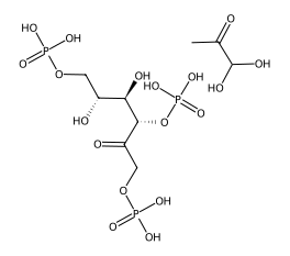 CC(=O)C(O)O.O=C(COP(=O)(O)O)[C@@H](OP(=O)(O)O)[C@H](O)[C@H](O)COP(=O)(O)O